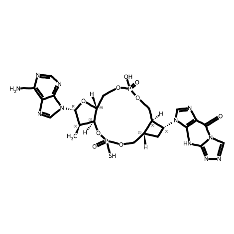 C[C@@H]1[C@@H]2OP(=O)(S)OC[C@H]3C[C@@H](n4cnc5c(=O)n6cnnc6[nH]c54)[C@@H]3COP(=O)(O)OC[C@H]2O[C@H]1n1cnc2c(N)ncnc21